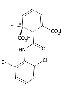 C[C@]1(C(=O)O)C=CC=C(C(=O)O)C1C(=O)Nc1c(Cl)cccc1Cl